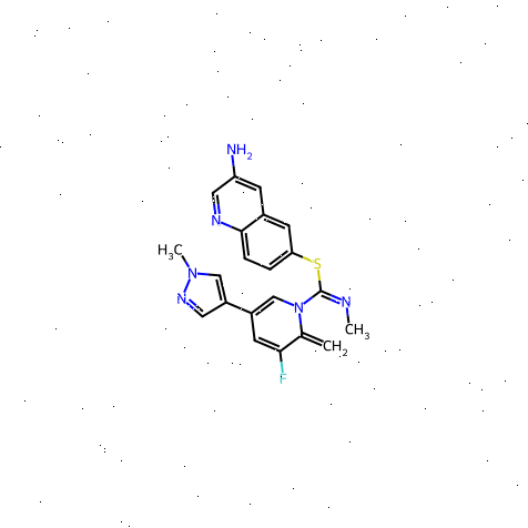 C=C1C(F)=CC(c2cnn(C)c2)=CN1/C(=N\C)Sc1ccc2ncc(N)cc2c1